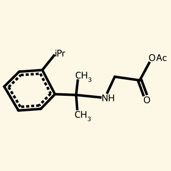 CC(=O)OC(=O)CNC(C)(C)c1ccccc1C(C)C